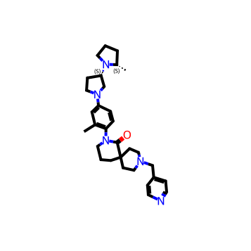 Cc1cc(N2CC[C@H](N3CCC[C@@H]3C)C2)ccc1N1CCCC2(CCN(Cc3ccncc3)CC2)C1=O